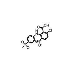 CS(=O)(=O)c1ccc(Nc2c([N+](=O)[O-])ccc(Cl)c2C(=O)O)cc1